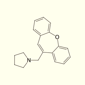 C1=C(CN2CCCC2)c2ccccc2Oc2ccccc21